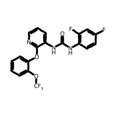 O=C(Nc1ccc(F)cc1F)Nc1cccnc1Oc1ccccc1OC(F)(F)F